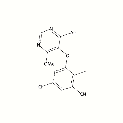 COc1ncnc(C(C)=O)c1Oc1cc(Cl)cc(C#N)c1C